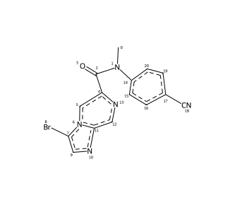 CN(C(=O)c1cn2c(Br)cnc2cn1)c1ccc(C#N)cc1